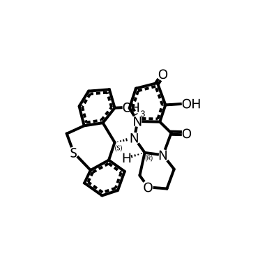 Cc1cccc2c1[C@H](N1[C@@H]3COCCN3C(=O)c3c(O)c(=O)ccn31)c1ccccc1SC2